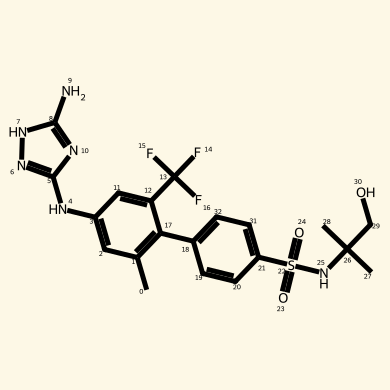 Cc1cc(Nc2n[nH]c(N)n2)cc(C(F)(F)F)c1-c1ccc(S(=O)(=O)NC(C)(C)CO)cc1